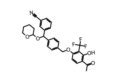 CC(=O)c1ccc(OCc2ccc(C(OC3CCCCO3)c3cccc(C#N)c3)cc2)c(C(F)(F)F)c1O